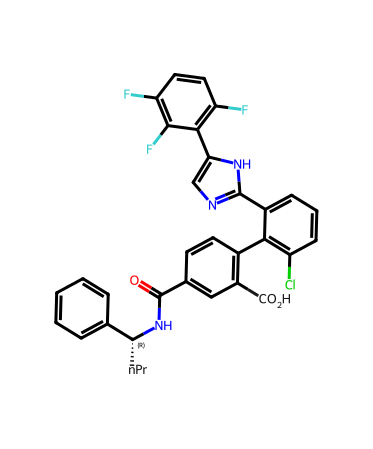 CCC[C@@H](NC(=O)c1ccc(-c2c(Cl)cccc2-c2ncc(-c3c(F)ccc(F)c3F)[nH]2)c(C(=O)O)c1)c1ccccc1